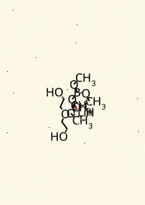 COB(OC)OC.COC.OCCOCCO.[LiH]